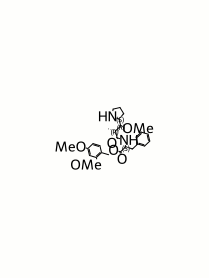 COc1ccc(COC(=O)[C@H](Cc2ccccc2)NC(=O)[C@H](C)[C@@H](OC)[C@@H]2CCCN2)c(OC)c1